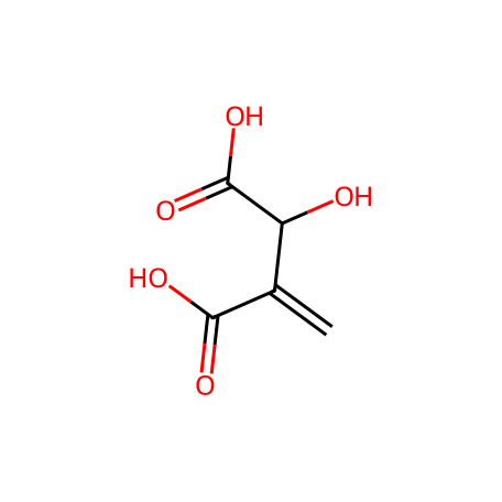 C=C(C(=O)O)C(O)C(=O)O